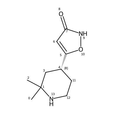 CC1(C)C[C@H](c2cc(=O)[nH]o2)CCN1